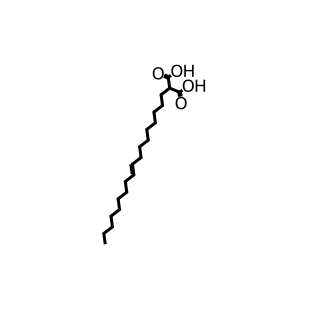 CCCCCCCCC=CCCCCCCCCC(C(=O)O)C(=O)O